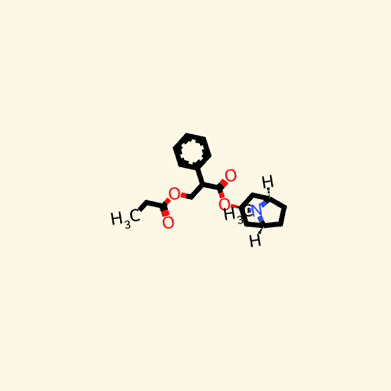 CCC(=O)OCC(C(=O)O[C@H]1C[C@H]2CC[C@@H](C1)N2C)c1ccccc1